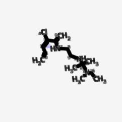 C=C/C=C(/Cl)C(=C)NCCNC(C)(C)N(C)CC